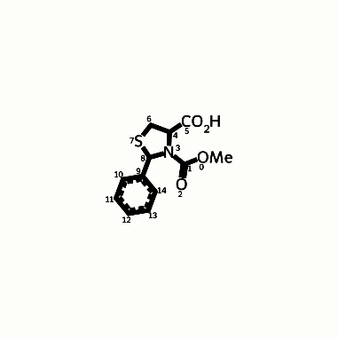 COC(=O)N1C(C(=O)O)CSC1c1ccccc1